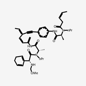 C=C(/C=C\C(C#Cc1ccc(NC(=O)[C@H](C)N(CCC)C(=O)C/C=C\C)cc1)=C/C)NC(=O)[C@H](C)N(CCC)C(=O)[C@H](NCOC)C1=CCCC=C1